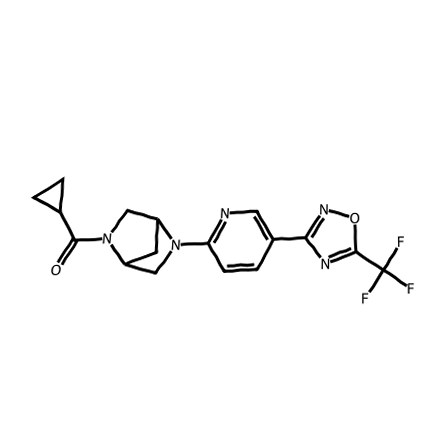 O=C(C1CC1)N1CC2CC1CN2c1ccc(-c2noc(C(F)(F)F)n2)cn1